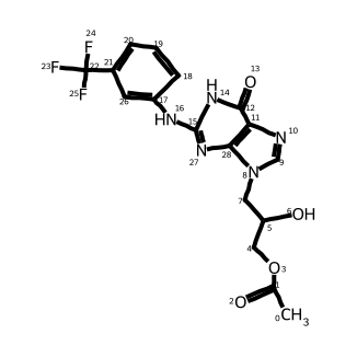 CC(=O)OCC(O)Cn1cnc2c(=O)[nH]c(Nc3cccc(C(F)(F)F)c3)nc21